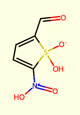 O=CC1=CC=C([N+](=O)O)S1([O-])O